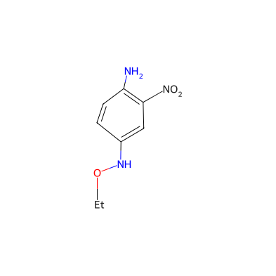 CCONc1ccc(N)c([N+](=O)[O-])c1